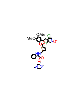 COc1ccc(C(Cc2c(Cl)c[n+]([O-])cc2Cl)OC(=O)c2ccc(CNC(C(=O)OC[C@H]3CN(C)CCN3C)c3ccccc3)s2)cc1OC